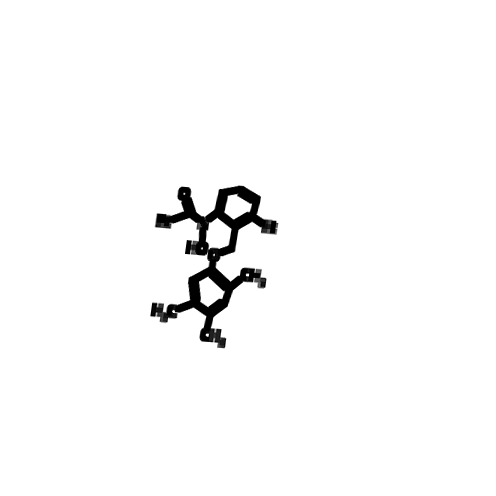 CCC(=O)N(O)c1cccc(CC)c1COc1cc(C)c(C)cc1C